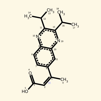 C/C(=C/C(=O)O)c1ccc2nc(C(C)C)c(C(C)C)nc2c1